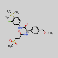 COCc1ccc([C@@H](NC(=O)CCS(C)(=O)=O)C(=O)Nc2ccc(S(C)(C)C)c(F)c2)cc1